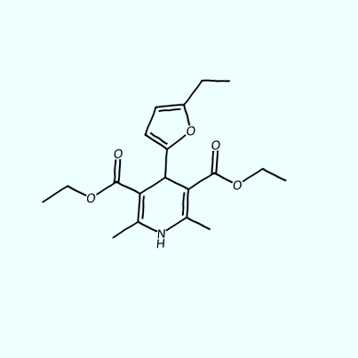 CCOC(=O)C1=C(C)NC(C)=C(C(=O)OCC)C1c1ccc(CC)o1